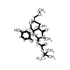 COC[C@H]1C[C@H]2C(=O)N(C)/C(=N\C(=O)OC(C)(C)C)N[C@@]2(c2cc(O)ccc2F)CO1